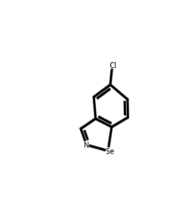 Clc1ccc2[se]ncc2c1